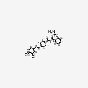 NC(=O)OC(CC(=O)N1CCN(CCc2ccc(Cl)c(Cl)c2)CC1)c1ccccc1